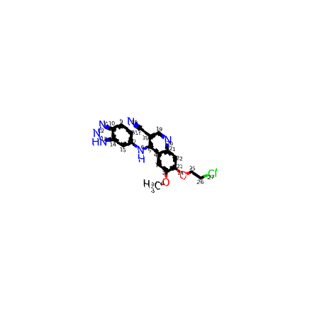 COc1cc2c(Nc3ccc4nn[nH]c4c3)c(C#N)cnc2cc1OCCCl